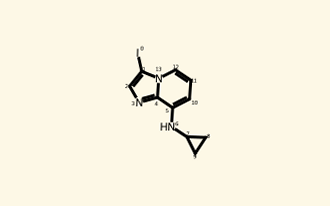 Ic1cnc2c(NC3CC3)cccn12